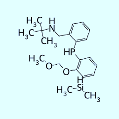 COCOc1c(Pc2ccccc2CNC(C)(C)C)cccc1[SiH](C)C